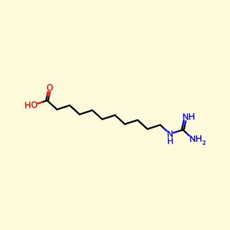 N=C(N)NCCCCCCCCCCC(=O)O